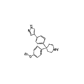 CCOc1ccc(C2(c3ccc(-c4cn[nH]c4)cc3)CCNCC2)cc1